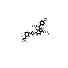 CC(=O)CN1CCC[C@H](C2CN(c3cnc4c(C)nn([C@H](C)c5ccc(Cl)cc5Cl)c4n3)C2)C1